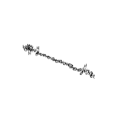 CCOCCOCCNC(=O)CCOCCOCCOCCOCCOCCOCCOCCOCCOCCOCCNC(=O)CCCC[C@@H]1SC[C@@H]2NC(=O)N[C@@H]21